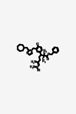 CCN(N)/C=C(\N)CCC(c1ccc(Cl)c(Cn2ccnc2CC2CCCCCC2)c1)C(C)(C)C(=O)OCc1ccccc1